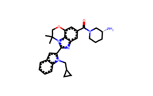 CC1(C)COc2cc(C(=O)N3CCC[C@@H](N)C3)cc3nc(-c4cc5ccccc5n4CC4CC4)n1c23